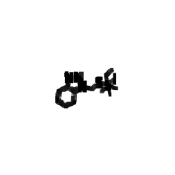 CCS(C)(C)(C)(I)SCn1nnc2ccccc21